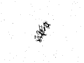 CC(=O)NCc1c(C)n(CCN2CCCC2)[nH]c1=O